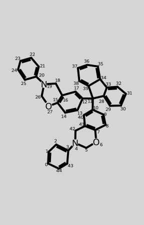 c1ccc(N2COc3ccc(C4(c5ccc6c(c5)CN(c5ccccc5)CO6)c5ccccc5-c5ccccc54)cc3C2)cc1